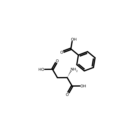 N[C@@H](CC(=O)O)C(=O)O.O=C(O)c1ccccc1